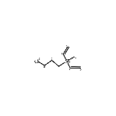 C=C[Si](C)(C=C)CCCCl